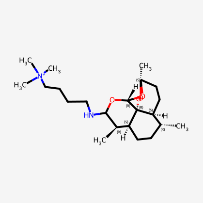 C[C@@H]1CC[C@H]2[C@@H](C)C(NCCCC[N+](C)(C)C)O[C@@H]3O[C@]4(C)CC[C@@H]1[C@]32OO4